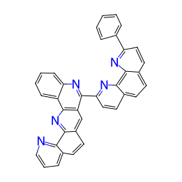 c1ccc(-c2ccc3ccc4ccc(-c5nc6ccccc6c6nc7c(ccc8cccnc87)cc56)nc4c3n2)cc1